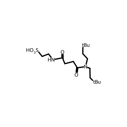 CC(C)(C)CCN(CCC(C)(C)C)C(=O)CCC(=O)NCCS(=O)(=O)O